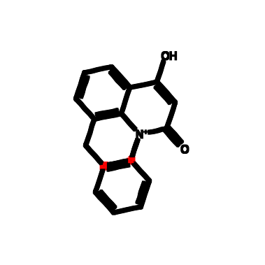 O=C1C=C(O)c2cccc3c2[N+]1(c1ccccc1)CCC3